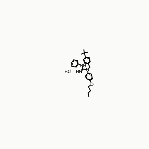 CCCCOc1ccc(N(Cc2ccc(C(C)(C)C)cc2)C(=N)Nc2ccccc2)cc1.Cl